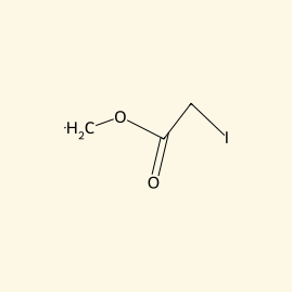 [CH2]OC(=O)CI